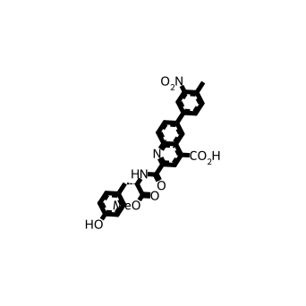 COC(=O)[C@H](Cc1ccc(O)cc1)NC(=O)c1cc(C(=O)O)c2cc(-c3ccc(C)c([N+](=O)[O-])c3)ccc2n1